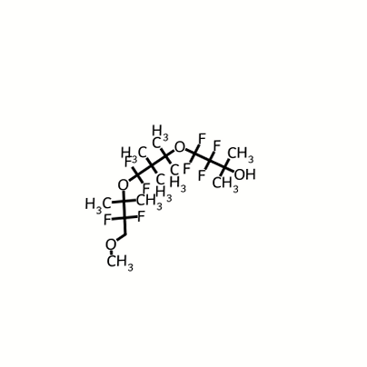 COCC(F)(F)C(C)(C)OC(F)(F)C(C)(C)C(C)(C)OC(F)(F)C(F)(F)C(C)(C)O